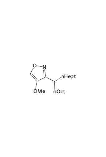 CCCCCCCCC(CCCCCCC)c1nocc1OC